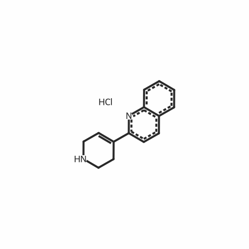 C1=C(c2ccc3ccccc3n2)CCNC1.Cl